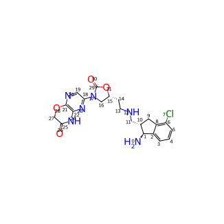 N[C@@H]1c2cccc(Cl)c2C[C@H]1CNCC[C@@H]1CN(c2cnc3c(n2)NC(=O)CO3)C(=O)O1